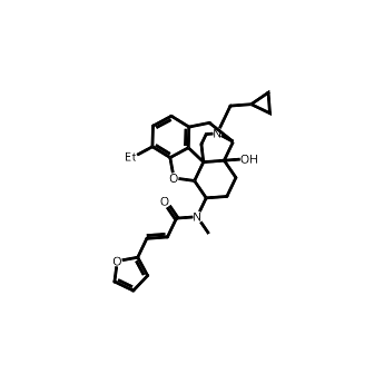 CCc1ccc2c3c1OC1C(N(C)C(=O)/C=C/c4ccco4)CCC4(O)C(C2)N(CC2CC2)CCC314